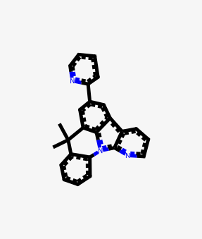 CC1(C)c2ccccc2-n2c3ncccc3c3cc(-c4ccccn4)cc1c32